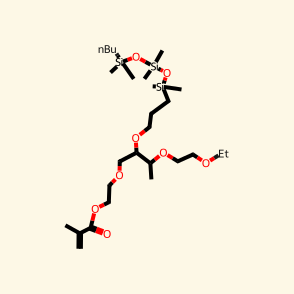 C=C(C)C(=O)OCCOCC(OCCC[Si](C)(C)O[Si](C)(C)O[Si](C)(C)CCCC)C(C)OCCOCC